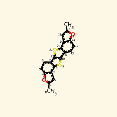 Cc1cc2c(ccc3c2sc2c4ccc5oc(C)cc5c4sc32)o1